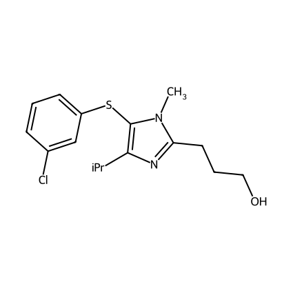 CC(C)c1nc(CCCO)n(C)c1Sc1cccc(Cl)c1